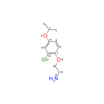 CC(C)Oc1ccc(OCCN)c(Cl)c1